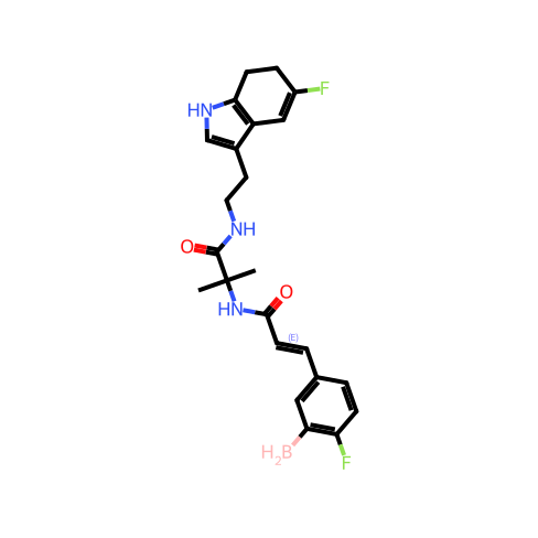 Bc1cc(/C=C/C(=O)NC(C)(C)C(=O)NCCc2c[nH]c3c2C=C(F)CC3)ccc1F